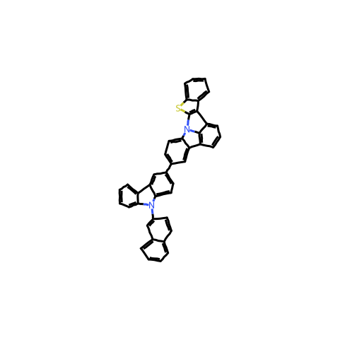 c1ccc2cc(-n3c4ccccc4c4cc(-c5ccc6c(c5)c5cccc7c8c9ccccc9sc8n6c57)ccc43)ccc2c1